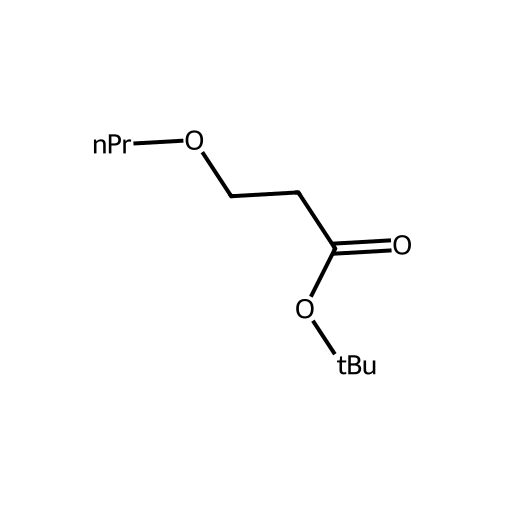 CCCOCCC(=O)OC(C)(C)C